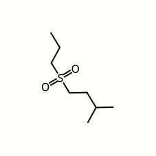 CCCS(=O)(=O)CCC(C)C